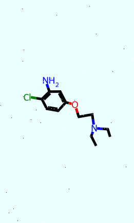 CCN(CC)CCOc1ccc(Cl)c(N)c1